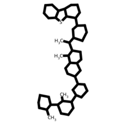 CC1CCCCC1C1CCCC(C2CCCC(C3CCC4C(CCC(C(C)C5CCCC(C6CCCC7C8CCCCC8SC67)C5)C4C)C3)C2)C1C